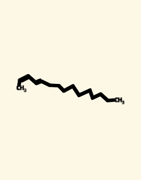 C/[C]=C\C=C\CCCCCCCCCC